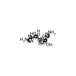 Nc1ccn([C@@H]2C[C@H](CO)[C@@H](OP(=O)(O)OC[C@H]3C[C@@H](n4cnc5c(N)ncnc54)[C@H](O)[C@@H]3O)[C@H]2O)c(=O)n1